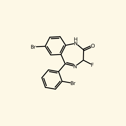 O=C1Nc2ccc(Br)cc2C(c2ccccc2Br)=NC1F